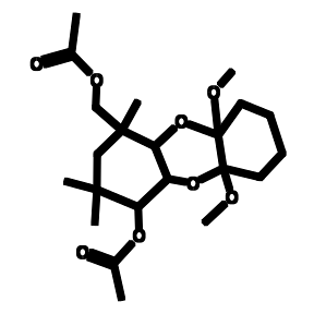 COC12CCCCC1(OC)OC1C(O2)C(OC(C)=O)C(C)(C)CC1(C)COC(C)=O